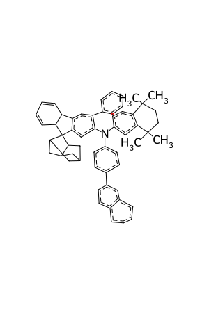 CC1(C)CCC(C)(C)c2cc(N(c3ccc(-c4ccc5ccccc5c4)cc3)c3cc4c(cc3-c3ccccc3)C3C=CC=CC3C43C4CC5CC(C4)C3C5)ccc21